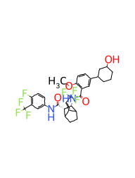 COc1ccc(C2CCCC(O)C2)cc1C(=O)N[C@@H]1C2CCC(/C2=C/C(F)(F)F)[C@@H]1C(=O)Nc1ccc(F)c(C(F)(F)F)c1